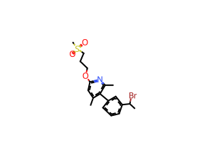 Cc1cc(OCCCS(C)(=O)=O)nc(C)c1-c1cccc(C(C)Br)c1